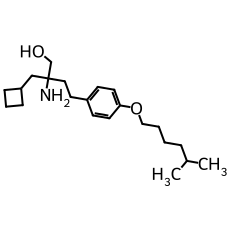 CC(C)CCCCOc1ccc(CCC(N)(CO)CC2CCC2)cc1